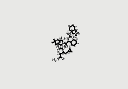 CC1(C)C[C@H]2[C@H](CN(C(=O)[C@@H](NC(=O)NC3(CS(C)(=O)=O)CCCCC3)C3CCCCC3)[C@@H]2C(=O)NC(CC2CC2)C(=O)C(N)=O)S1